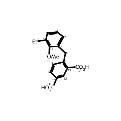 CCc1cccc(Cc2ccc(C(=O)O)cc2C(=O)O)c1OC